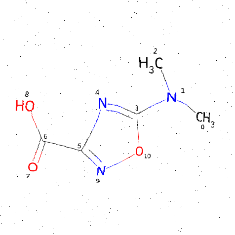 CN(C)c1nc(C(=O)O)no1